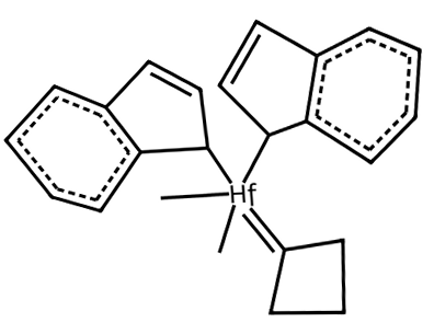 [CH3][Hf]([CH3])(=[C]1CCC1)([CH]1C=Cc2ccccc21)[CH]1C=Cc2ccccc21